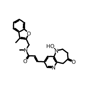 Cc1c(CN(C)C(=O)C=Cc2cnc3c(c2)N(O)CCC(=O)C3)oc2ccccc12